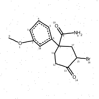 COc1cccc(C2(C(N)=O)CCC(=O)C(Br)C2)c1